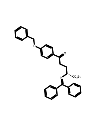 CCOC(=O)[C@@H](CCC(=O)c1ccc(OCc2ccccc2)cc1)N=C(c1ccccc1)c1ccccc1